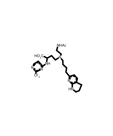 CC(=O)NCCN(CCCCc1ccc2c(n1)NCCC2)CCC(Nc1ccnc(C(F)(F)F)n1)C(=O)O